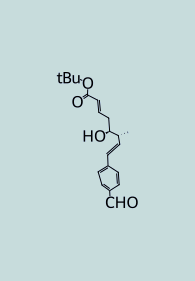 C[C@H](C=Cc1ccc(C=O)cc1)[C@@H](O)CC=CC(=O)OC(C)(C)C